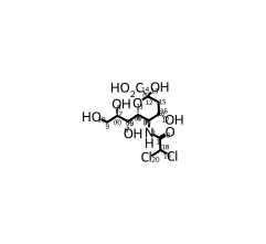 O=C(N[C@H]1[C@H]([C@H](O)[C@H](O)CO)O[C@](O)(C(=O)O)C[C@@H]1O)C(Cl)Cl